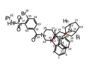 Cc1nc2ccccc2n1C1C[C@H]2CC[C@@H](C1)N2CCC1(c2ccccc2)CCN(C(=O)c2ccc(Br)c(S(=O)(=O)NC(C)C)c2)CC1